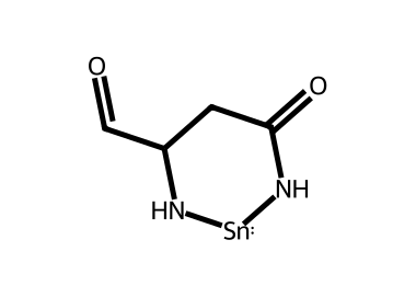 O=CC1CC(=O)[NH][Sn][NH]1